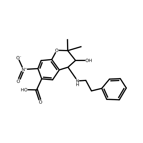 CC1(C)Oc2cc([N+](=O)[O-])c(C(=O)O)cc2C(NCCc2ccccc2)C1O